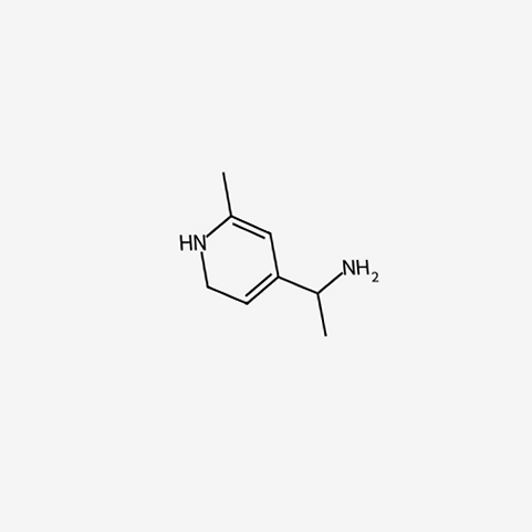 CC1=CC(C(C)N)=CCN1